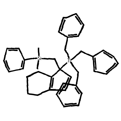 C[Si](C)(C[C]1([Ti]([CH2]c2ccccc2)([CH2]c2ccccc2)[CH2]c2ccccc2)C=CC2=C1CCCC2)c1ccccc1